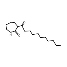 CCCCCCCCCCC(=O)C1CCCCNC1=O